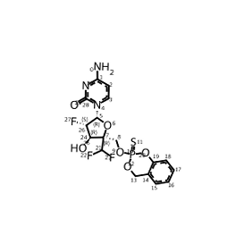 Nc1ccn([C@@H]2O[C@@](COP3(=S)OCc4ccccc4O3)(C(F)F)[C@@H](O)[C@@H]2F)c(=O)n1